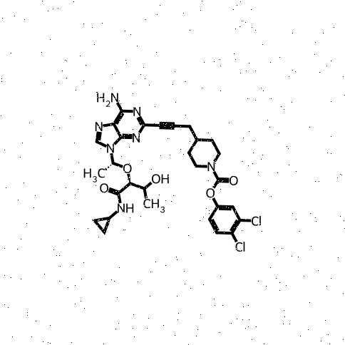 CC(O)[C@H](O[C@H](C)n1cnc2c(N)nc(C#CCC3CCN(C(=O)Oc4ccc(Cl)c(Cl)c4)CC3)nc21)C(=O)NC1CC1